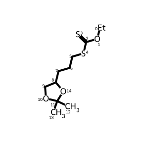 CCOC(=S)SCCCC1COC(C)(C)O1